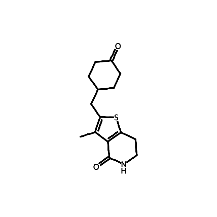 Cc1c(CC2CCC(=O)CC2)sc2c1C(=O)NCC2